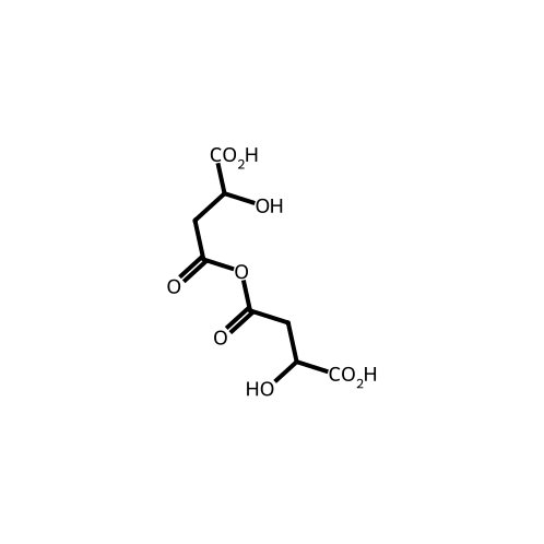 O=C(CC(O)C(=O)O)OC(=O)CC(O)C(=O)O